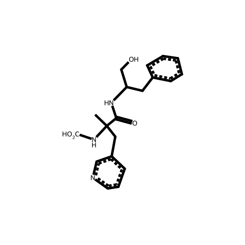 CC(Cc1cccnc1)(NC(=O)O)C(=O)NC(CO)Cc1ccccc1